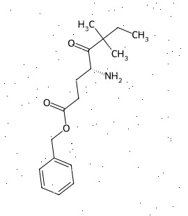 CCC(C)(C)C(=O)[C@H](N)CCC(=O)OCc1ccccc1